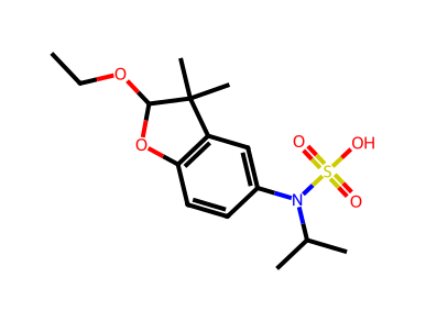 CCOC1Oc2ccc(N(C(C)C)S(=O)(=O)O)cc2C1(C)C